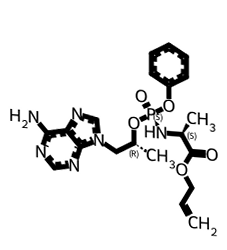 C=CCOC(=O)[C@H](C)N[P@@](=O)(Oc1ccccc1)O[C@H](C)Cn1cnc2c(N)ncnc21